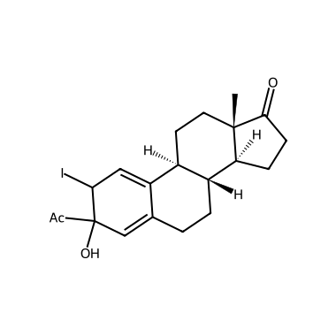 CC(=O)C1(O)C=C2CC[C@@H]3[C@H](CC[C@]4(C)C(=O)CC[C@@H]34)C2=CC1I